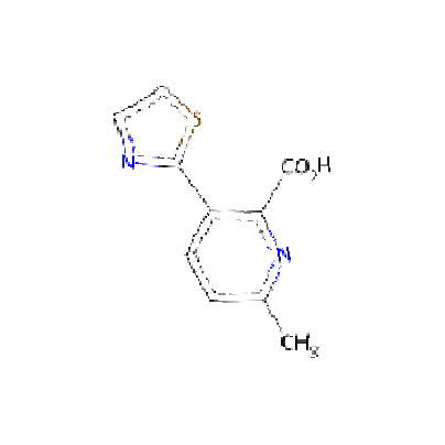 Cc1ccc(-c2nccs2)c(C(=O)O)n1